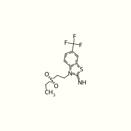 CCS(=O)(=O)CCn1c(=N)sc2cc(C(F)(F)F)ccc21